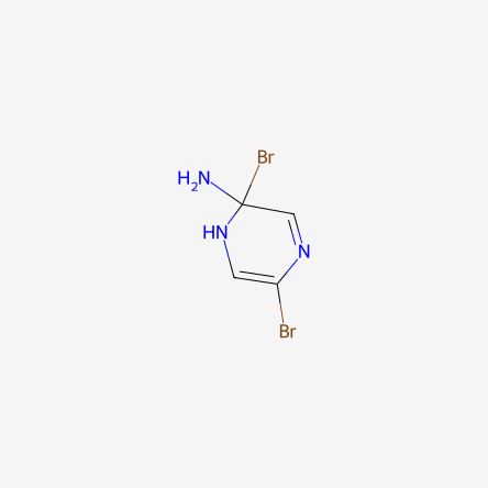 NC1(Br)C=NC(Br)=CN1